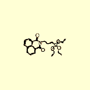 CCO[Si](CCCN1C(=O)c2cccc3c2C(C=CC3)C1=O)(OCC)OCC